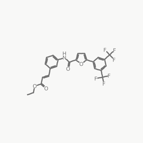 CCOC(=O)/C=C/c1cccc(NC(=O)c2ccc(-c3cc(C(F)(F)F)cc(C(F)(F)F)c3)o2)c1